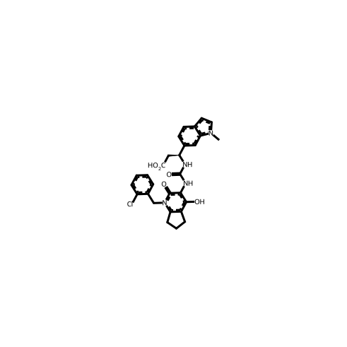 Cn1ccc2ccc([C@H](CC(=O)O)NC(=O)Nc3c(O)c4c(n(Cc5ccccc5Cl)c3=O)CCC4)cc21